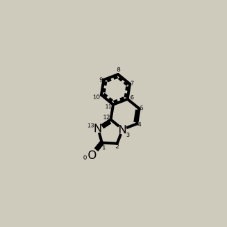 O=C1CN2C=Cc3ccccc3C2=N1